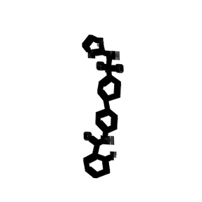 O=C(Nc1ccc(-c2ccc(S(=O)(=O)Nc3nccs3)cc2)cc1)c1ccccc1F